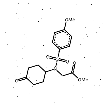 COC(=O)CN(C1CCC(=O)CC1)S(=O)(=O)c1ccc(OC)cc1